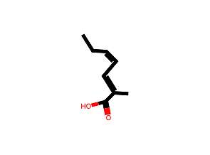 CC/C=C\C=C(/C)C(=O)O